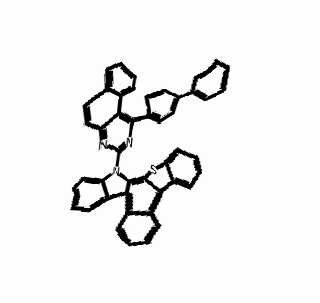 c1ccc(-c2ccc(-c3nc(-n4c5ccccc5c5c6ccccc6c6c7ccccc7sc6c54)nc4ccc5ccccc5c34)cc2)cc1